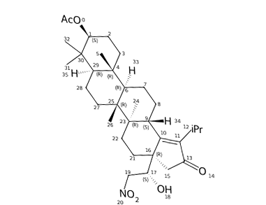 CC(=O)O[C@H]1CC[C@]2(C)[C@H]3CC[C@@H]4C5=C(C(C)C)C(=O)C[C@]5([C@H](O)C[N+](=O)[O-])CC[C@@]4(C)[C@]3(C)CC[C@H]2C1(C)C